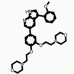 COc1ccccc1-c1c[nH]c2ncc(-c3ccc(OCCN4CCOCC4)c(OCCN4CCOCC4)c3)cc12